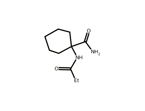 CCC(=O)NC1(C(N)=O)CCCCC1